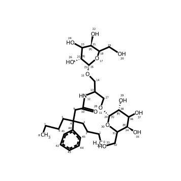 CCCCC(CCCC)(CC(=O)NC(CO[C@H]1OC(CO)[C@H](O)C(O)[C@H]1O)CO[C@H]1OC(CO)[C@H](O)C(O)[C@H]1O)c1ccccc1